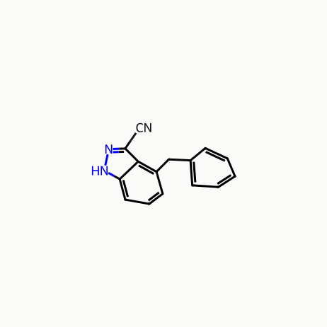 N#Cc1n[nH]c2cccc(Cc3ccccc3)c12